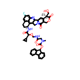 CC[C@]1(CO)C(=O)OCc2c1cc1n(c2=O)Cc2c-1nc1cc(F)cc3c1c2[C@@H](NC(=O)C(OCNC(=O)CN(C)C(=O)OC1c2ccccc2-c2ccccc21)C1CC1)CC3